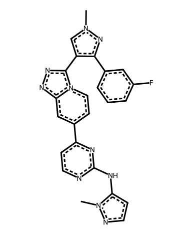 Cn1cc(-c2nnc3cc(-c4ccnc(Nc5ccnn5C)n4)ccn23)c(-c2cccc(F)c2)n1